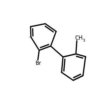 Cc1ccccc1-c1ccc[c]c1Br